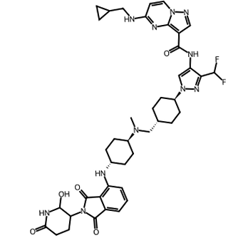 CN(C[C@H]1CC[C@H](n2cc(NC(=O)c3cnn4ccc(NCC5CC5)nc34)c(C(F)F)n2)CC1)[C@H]1CC[C@H](Nc2cccc3c2C(=O)N(C2CCC(=O)NC2O)C3=O)CC1